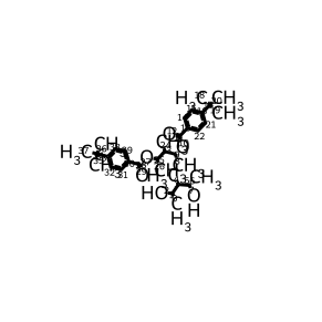 CC(O)C(C)C(C)O.CC(OC(=O)c1ccc(C(C)(C)C)cc1)C(C)C(C)OC(=O)c1ccc(C(C)(C)C)cc1